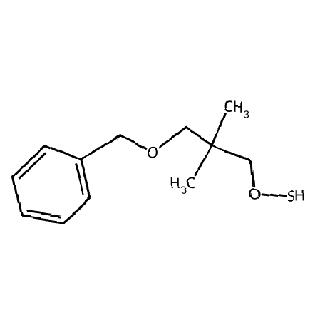 CC(C)(COS)COCc1ccccc1